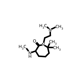 CNC1CCCC(C)(C)N(CCN(C)C)C1=O